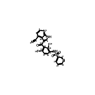 N#Cc1ccnc2[nH]cc(C(=O)c3c(F)ccc(NS(=O)(=O)c4cccnc4)c3F)c12